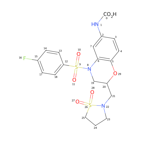 O=C(O)Nc1ccc2c(c1)N(S(=O)(=O)c1ccc(F)cc1)CC(CN1CCCS1(=O)=O)O2